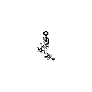 Cc1oc(C2CC2)nc1CNC(=O)c1cnn(C)c1C(=O)Nc1ccn2cc(-c3ccccc3)nc2n1